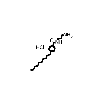 CCCCCCCCCCc1ccc(C(=O)NCCCN)cc1.Cl